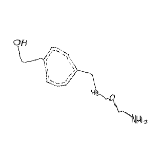 NCOBCc1ccc(CO)cc1